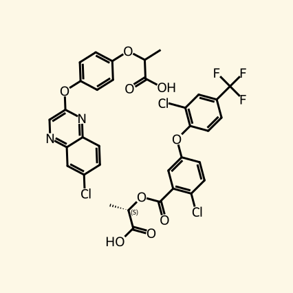 CC(Oc1ccc(Oc2cnc3cc(Cl)ccc3n2)cc1)C(=O)O.C[C@H](OC(=O)c1cc(Oc2ccc(C(F)(F)F)cc2Cl)ccc1Cl)C(=O)O